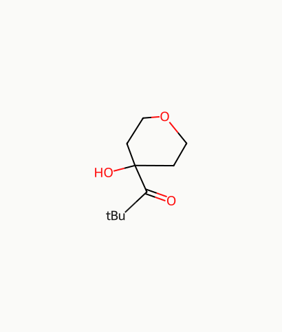 CC(C)(C)C(=O)C1(O)CCOCC1